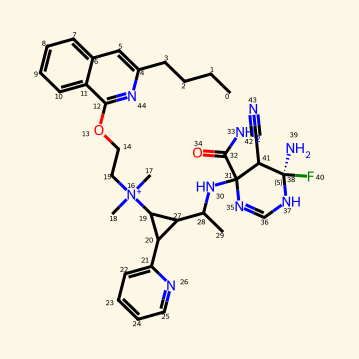 CCCCc1cc2ccccc2c(OCC[N+](C)(C)C2C(c3ccccn3)C2C(C)NC2(C(N)=O)N=CN[C@](N)(F)C2C#N)n1